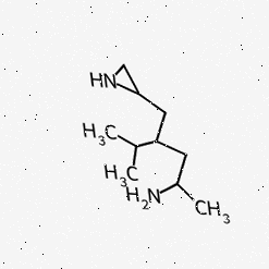 CC(N)CC(CC1CN1)C(C)C